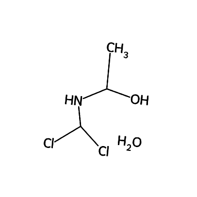 CC(O)NC(Cl)Cl.O